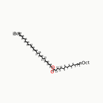 CCCCCCCCC=CCCCCCCCCCCCC(=O)OCCCCCCCCCCCCCCCCCCCCCCCCC(C)CC